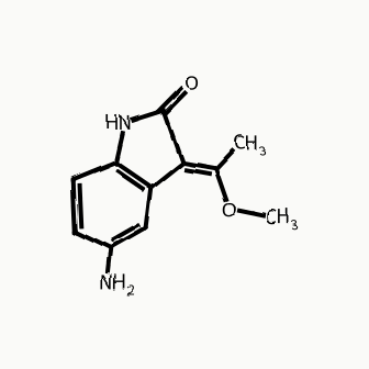 COC(C)=C1C(=O)Nc2ccc(N)cc21